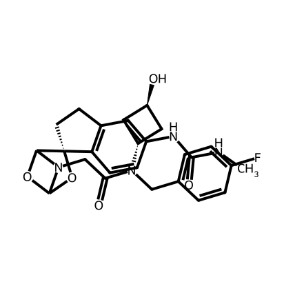 CNC(=O)Nc1ccc2c(c1)CC[C@@]21OC2OC1N2CC(=O)N(Cc1ccc(F)cc1)[C@H]1C[C@H](O)C1